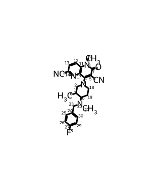 CC1CN(c2c(C#N)c(=O)n(C)c3ccc(C#N)nc23)CCC1N(C)Cc1ccc(F)cc1